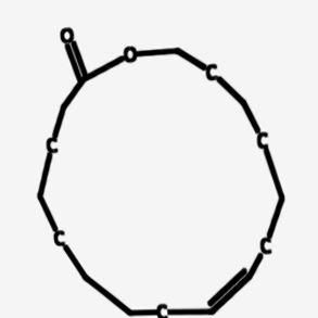 O=C1CCCCCCCC=CCCCCCCO1